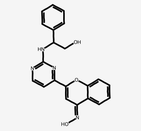 OCC(Nc1nccc(-c2c/c(=N\O)c3ccccc3o2)n1)c1ccccc1